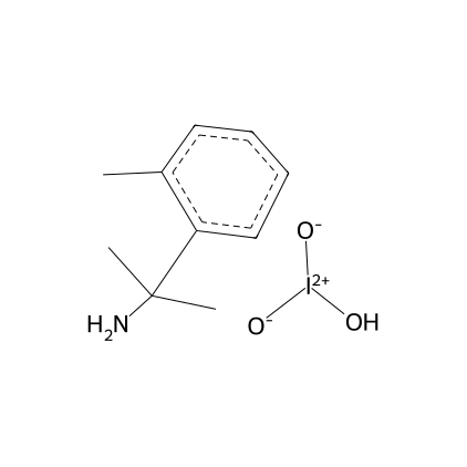 Cc1ccccc1C(C)(C)N.[O-][I+2]([O-])O